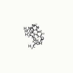 C=C(O)CO/N=C1\c2cc(OC)ccc2-c2ncnc(N)c2C1(C)C